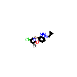 CCc1cc(Cl)cnc1Oc1ccc2c(nnn2CC2CC2)c1Br